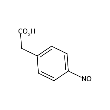 O=Nc1ccc(CC(=O)O)cc1